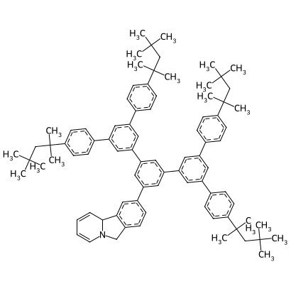 CC(C)(C)CC(C)(C)c1ccc(-c2cc(-c3ccc(C(C)(C)CC(C)(C)C)cc3)cc(-c3cc(-c4cc(-c5ccc(C(C)(C)CC(C)(C)C)cc5)cc(-c5ccc(C(C)(C)CC(C)(C)C)cc5)c4)cc(-c4ccc5c(c4)C4C=CC=CN4C5)c3)c2)cc1